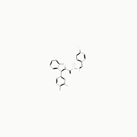 Cc1ccc(-c2c(C(=O)N/N=C\c3ccc(Cl)cc3)[nH]c3ccccc23)cc1C